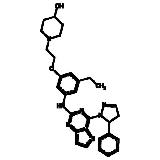 CCc1cc(Nc2nc(N3N=CCC3c3ccccc3)c3sccc3n2)cc(OCCN2CCC(O)CC2)c1